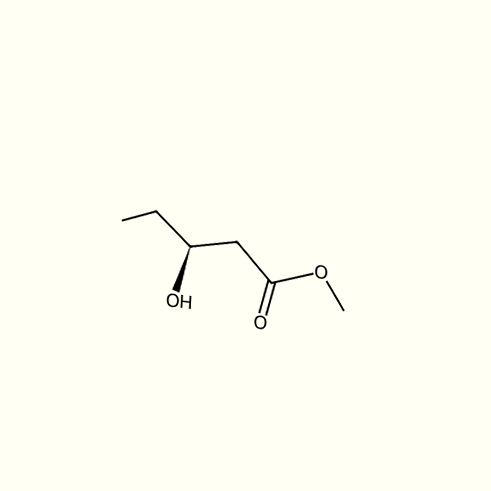 CC[C@H](O)CC(=O)OC